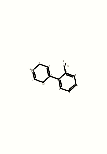 FC(F)(F)c1ccccc1C1=CCN=CC1